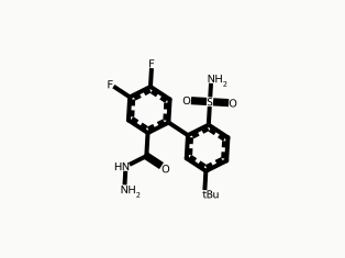 CC(C)(C)c1ccc(S(N)(=O)=O)c(-c2cc(F)c(F)cc2C(=O)NN)c1